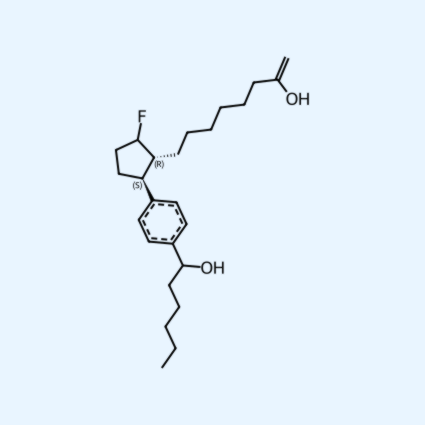 C=C(O)CCCCCC[C@H]1C(F)CC[C@@H]1c1ccc(C(O)CCCCC)cc1